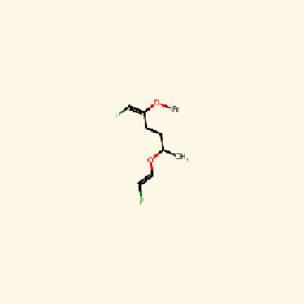 CC(C)O/C(=C/F)CCC(C)O/C=C/F